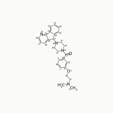 CN(C)CCOc1cccc(C(=O)N2CCN(C3c4ccccc4-c4ncccc43)CC2)c1